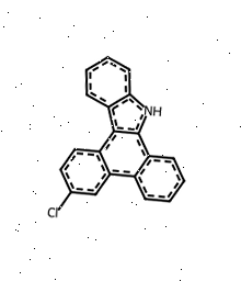 Clc1ccc2c(c1)c1ccccc1c1[nH]c3ccccc3c21